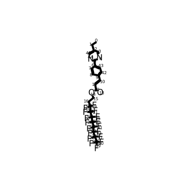 CCc1cnc(-c2ccc(C=CC(=O)OCCC(F)(F)C(F)(F)C(F)(F)C(F)(F)C(F)(F)C(F)(F)C(F)(F)C(F)(F)F)cc2)nc1